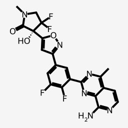 Cc1nc(-c2cc(-c3cc([C@@]4(O)C(=O)N(C)CC4(F)F)on3)cc(F)c2F)nc2c(N)nccc12